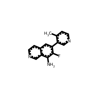 Cc1ccncc1-c1cc2ccncc2c(N)c1F